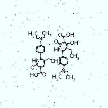 CCc1c(-c2ccc(N(CC)CC)cc2)[nH]c(=O)c(C(=O)O)c1O.CCc1cc(C(=O)O)c(=O)[nH]c1-c1ccc(N(CC)CC)cc1